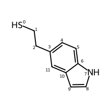 SCCc1ccc2[nH]ccc2c1